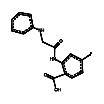 O=C(CNc1ccccc1)Nc1cc(F)ccc1C(=O)O